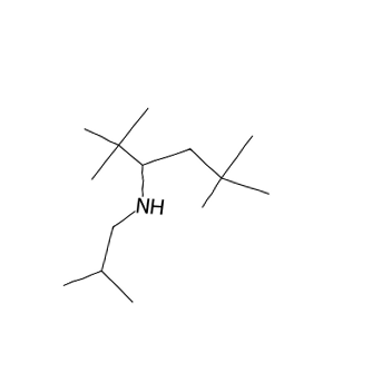 CC(C)CNC(CC(C)(C)C)C(C)(C)C